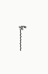 CCCCCCCCCCCCCCCCS(=O)(=O)N=[N+]=[N-]